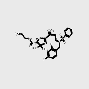 C=C(CCN(Cc1ccc(Cl)cc1F)S(=O)(=O)c1ccccc1)C1=NC(C)(C)[C@H](C(=O)NCCC(F)(F)F)N1